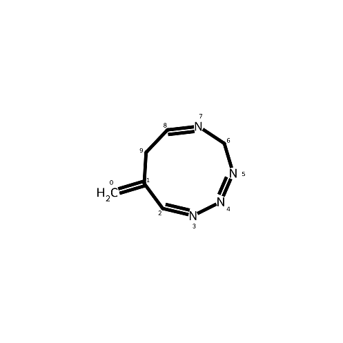 C=C1/C=N\N=N/C/N=C\C1